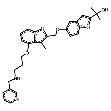 Cc1c(COc2ccc3oc(C(C)(C)O)cc3c2)oc2cccc(OCCCNCc3cccnc3)c12